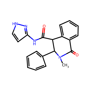 CN1C(=O)c2ccccc2C(C(=O)Nc2cc[nH]n2)C1c1ccccc1